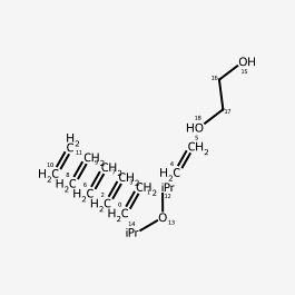 C=C.C=C.C=C.C=C.C=C.C=C.CC(C)OC(C)C.OCCO